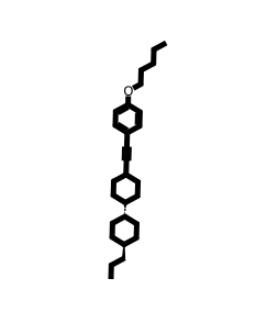 CCCCCOc1ccc(C#CC2CCC([C@H]3CC[C@H](CCC)CC3)CC2)cc1